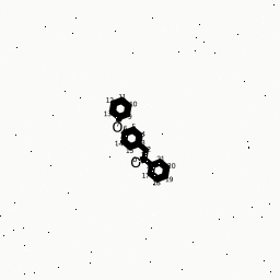 O=C(Cc1ccc(Oc2ccccc2)cc1)c1ccccc1